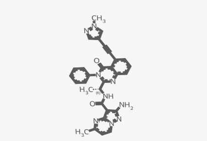 Cc1ccn2nc(N)c(C(=O)N[C@H](C)c3nc4cccc(C#Cc5cnn(C)c5)c4c(=O)n3-c3ccccc3)c2n1